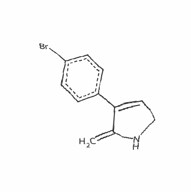 C=C1NCC=C1c1ccc(Br)cc1